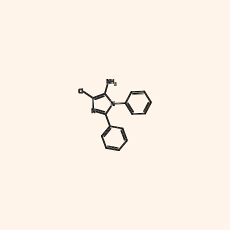 Nc1c(Cl)nc(-c2ccccc2)n1-c1ccccc1